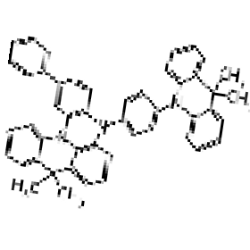 CC1(C)c2ccccc2N(c2ccc(N3c4ccc(-c5ccccc5)cc4N4c5ccccc5C(C)(C)c5cccc3c54)cc2)c2ccccc21